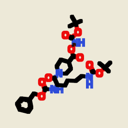 CC(C)(C)OC(=O)NCCCCC(NC(=O)OCc1ccccc1)C(=O)N1CCC(C(=O)ONC(=O)OC(C)(C)C)CC1